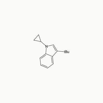 CC(C)(C)c1cn(C2CC2)c2ccccc12